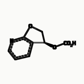 O=C(O)O[C@@H]1COc2ncccc21